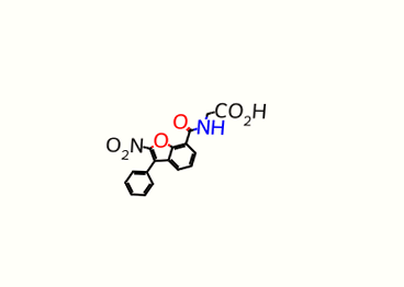 O=C(O)CNC(=O)c1cccc2c(-c3ccccc3)c([N+](=O)[O-])oc12